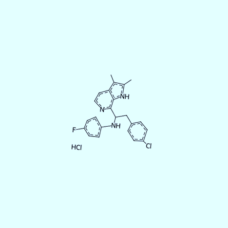 Cc1[nH]c2c(C(Cc3ccc(Cl)cc3)Nc3ccc(F)cc3)nccc2c1C.Cl